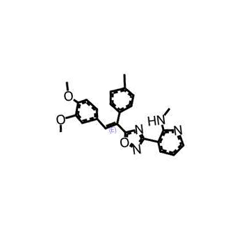 CNc1ncccc1-c1noc(/C(=C/c2ccc(OC)c(OC)c2)c2ccc(C)cc2)n1